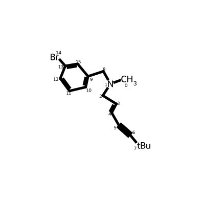 CN(CC=CC#CC(C)(C)C)Cc1cccc(Br)c1